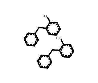 Cc1ccccc1Cc1ccccc1.Cc1ccccc1Cc1ccccc1